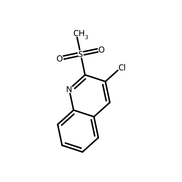 CS(=O)(=O)c1nc2ccccc2cc1Cl